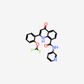 O=C(Nc1cccnc1)c1cccc2c(=O)cc(-c3ccccc3OC(F)F)[nH]c12